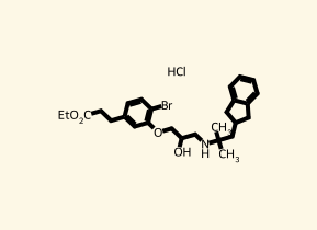 CCOC(=O)CCc1ccc(Br)c(OCC(O)CNC(C)(C)CC2Cc3ccccc3C2)c1.Cl